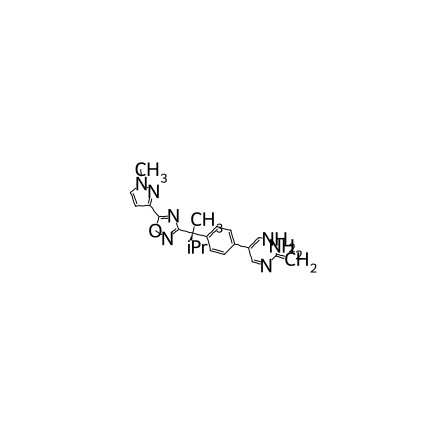 C=C(N)/N=C\C(=C/N)c1ccc([C@@](C)(c2noc(-c3ccn(C)n3)n2)C(C)C)cc1